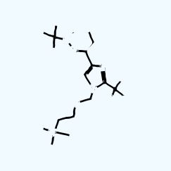 CC[C@H](N[S@+]([O-])C(C)(C)C)c1cn(COCC[Si](C)(C)C)c(C(F)(F)F)n1